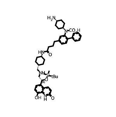 CC(C)(C)[Si](C)(C)O[C@@H](CNC[C@H]1CC[C@H](NC(=O)CCCc2ccc(-c3ccccc3)c(N(C(=O)O)[C@H]3CC[C@H](N)CC3)c2)CC1)c1ccc(O)c2[nH]c(=O)ccc12